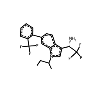 CCC(C)n1cc([C@H](N)C(F)(F)F)c2ccc(-c3ccccc3C(F)(F)F)cc21